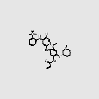 C=CC(=O)Nc1cc(Nc2ncc(Cl)c(Nc3ccccc3P(C)(C)=O)n2)c(OC)cc1O[C@H]1CCCN(C)C1